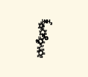 NCc1ccc(C2CCN(C(=O)c3cncc(CCc4ccccc4)c3)CC2)s1